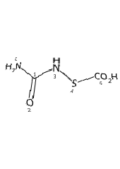 NC(=O)NSC(=O)O